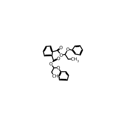 CCC(OC(=O)c1ccccc1C(=O)OC(CC)Oc1ccccc1)Oc1ccccc1